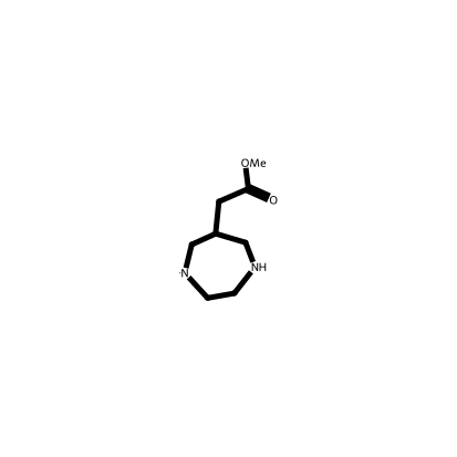 COC(=O)CC1C[N]CCNC1